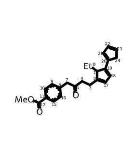 CCC1C(CCC(=O)Cc2ccc(C(=O)OC)cc2)=CC=C1C1=CC=CC1